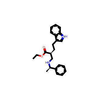 CCOC(=O)[C@@H](CCc1c[nH]c2ccccc12)CN[C@H](C)c1ccccc1